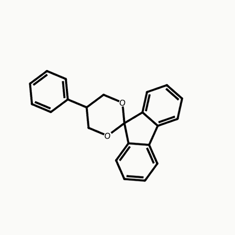 c1ccc(C2COC3(OC2)c2ccccc2-c2ccccc23)cc1